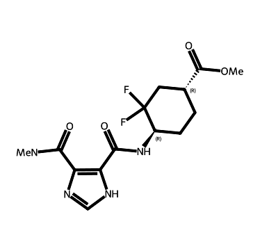 CNC(=O)c1nc[nH]c1C(=O)N[C@@H]1CC[C@@H](C(=O)OC)CC1(F)F